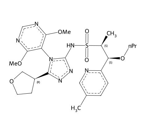 CCCO[C@@H](c1ccc(C)cn1)[C@H](C)S(=O)(=O)Nc1nnc([C@H]2CCOC2)n1-c1c(OC)ncnc1OC